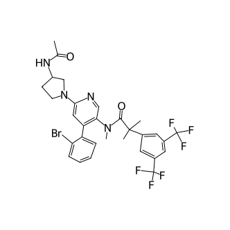 CC(=O)NC1CCN(c2cc(-c3ccccc3Br)c(N(C)C(=O)C(C)(C)c3cc(C(F)(F)F)cc(C(F)(F)F)c3)cn2)C1